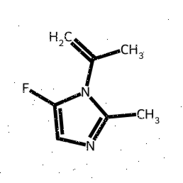 C=C(C)n1c(F)cnc1C